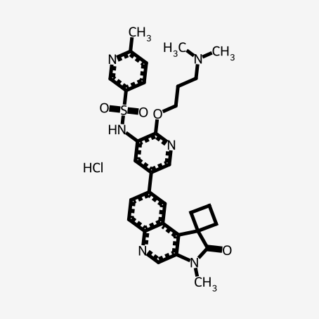 Cc1ccc(S(=O)(=O)Nc2cc(-c3ccc4ncc5c(c4c3)C3(CCC3)C(=O)N5C)cnc2OCCCN(C)C)cn1.Cl